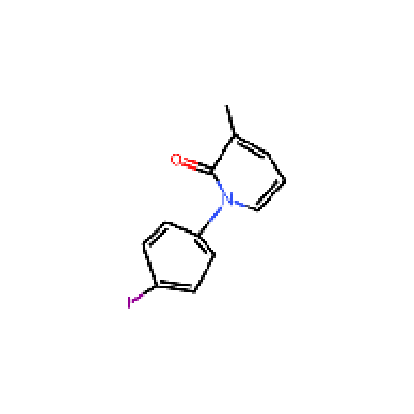 Cc1cccn(-c2ccc(I)cc2)c1=O